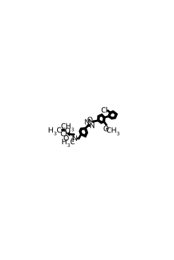 COCc1cc(-c2nc(-c3ccc(CN(C)CC(=O)OC(C)(C)C)cc3)no2)ccc1-c1ccccc1Cl